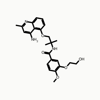 COc1ccc(C(=O)NC(C)(C)COc2cccc3nc(C)cc(N)c23)cc1OCCO